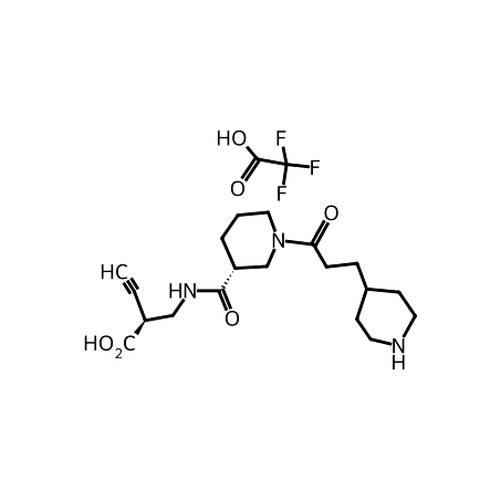 C#C[C@@H](CNC(=O)[C@@H]1CCCN(C(=O)CCC2CCNCC2)C1)C(=O)O.O=C(O)C(F)(F)F